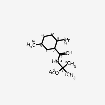 CC(=O)OC(C)(C)NC(=O)C1CC(C)CCC1C(C)C